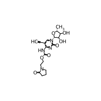 C#Cc1cn([C@@H]2O[C@H](C)C(O)C2O)c(=O)nc1NC(=O)OCCN1CCCC1=O